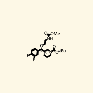 COC(=O)NCCO[C@@H](c1ccc(F)c(F)c1)[C@@H]1CCCN(C(=O)OC(C)(C)C)C1